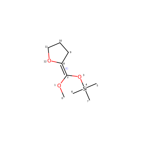 CO/C(O[Si](C)(C)C)=C1/CCCO1